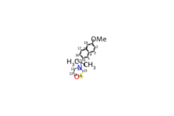 COc1ccc2cc(C(C)(C)N3CCOSC3)ccc2c1